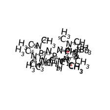 C=P(N=P(N(C)C)(N(C)C)N(C)C)(N=P(N(C)C)(N(C)C)N(C)C)NC(C)(C)CC(C)(C)C